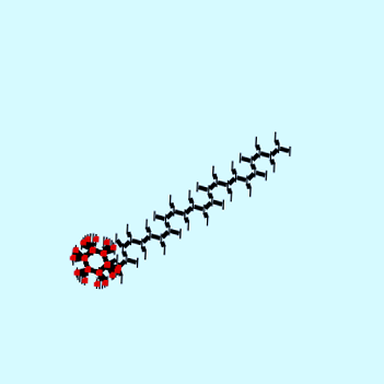 II(I)I(I)I(I)I(I)I(I)I(I)I(I)I(I)I(I)I(I)I(I)I(I)I(I)I(I)I(I)I(I)I(I)I(I)I(I)I(I)I(I)I(I)I(I)I(I)I(I)I(I)I(I)I(I)I(I)I(I)I(I)I(I)I(I)I(I)I(I)I(I)I(I)I(I)I(I)I(I)I(I)I(I)I(I)I(I)I(I)I(I)I(I)I(I)I(I)I(I)I(I)I(I)I(I)I(I)I(I)I(I)I(I)I